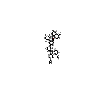 C=C(C)/C=C\C1c2ccccc2N(c2ccccc2-c2cc(-c3cccc(-n4c5ccc(C#N)cc5c5c(C#N)cccc54)c3)ccc2C#N)C1C